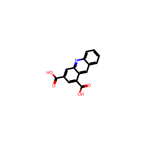 O=C(O)c1cc(C(=O)O)c2cc3ccccc3nc2c1